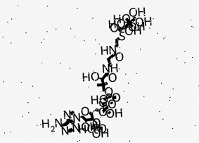 CC(C)(COP(=O)(O)OP(=O)(O)OC[C@H]1O[C@@H](n2cnc3c(N)ncnc32)[C@H](O)[C@@H]1OP(=O)(O)O)[C@@H](O)C(=O)NCCC(=O)NCCSC(=O)C(O)(O)C(O)(O)C(O)O